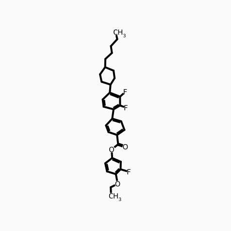 CCCCCC1CCC(c2ccc(-c3ccc(C(=O)Oc4ccc(OCC)c(F)c4)cc3)c(F)c2F)CC1